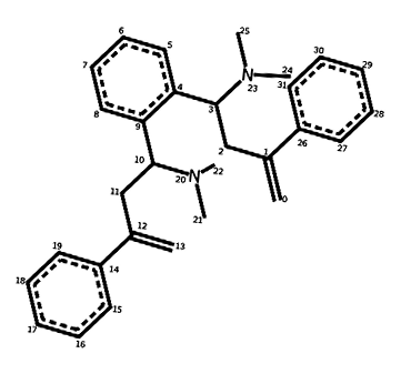 C=C(CC(c1ccccc1C(CC(=C)c1ccccc1)N(C)C)N(C)C)c1ccccc1